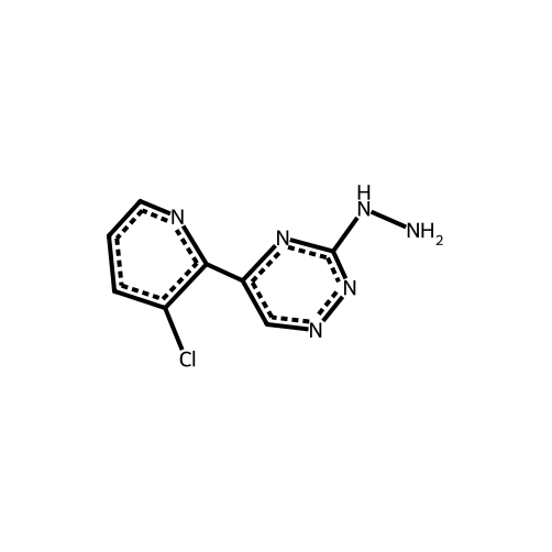 NNc1nncc(-c2ncccc2Cl)n1